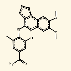 COc1cc2nc(Nc3c(C)cc(C(N)=O)cc3Cl)c3cncn3c2cc1OC